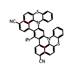 CC(C)c1c(-c2ccc(C#N)cc2)c(N2c3ccccc3Sc3ccccc32)cc(N2c3ccccc3Sc3ccccc32)c1-c1ccc(C#N)cc1